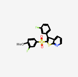 COc1ccc(S(=O)(=O)c2sc3ncccc3c2-c2cccc(F)c2)cc1F